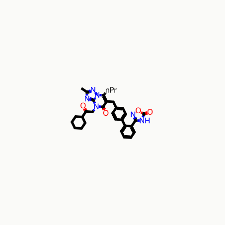 CCCc1c(Cc2ccc(-c3ccccc3-c3noc(=O)[nH]3)cc2)c(=O)n(CC(=O)C2CCCCC2)c2nc(C)nn12